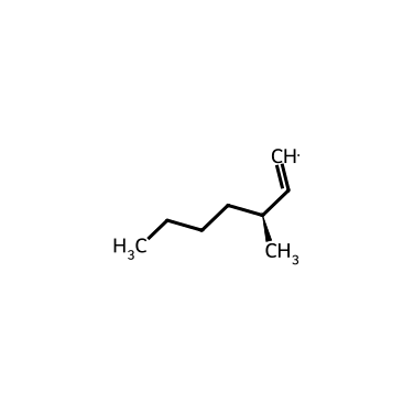 [CH]=C[C@@H](C)CCCC